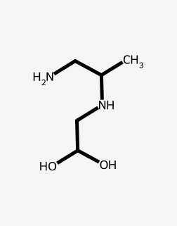 CC(CN)NCC(O)O